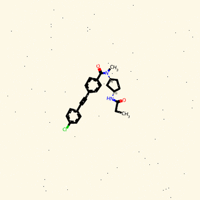 CCC(=O)N[C@H]1CC[C@@H](N(C)C(=O)c2ccc(C#Cc3ccc(Cl)cc3)cc2)C1